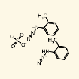 Cc1ccccc1N[N+]#N.Cc1ccccc1N[N+]#N.O=S(=O)([O-])[O-]